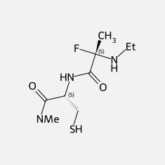 CCN[C@@](C)(F)C(=O)N[C@H](CS)C(=O)NC